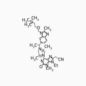 CCn1c(CC#N)nc2c(N3C[C@@H](C)N(C(C)c4ccc5nc(C)n(COCC[Si](C)(C)C)c5c4)C[C@@H]3C)nc(=O)n(C)c21